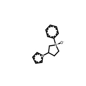 [O-][N+]1(c2ccccc2)CCC(n2cccc2)C1